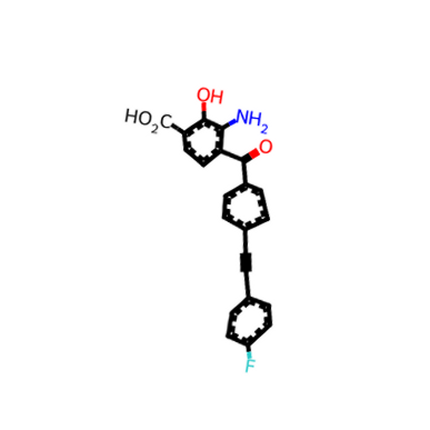 Nc1c(C(=O)c2ccc(C#Cc3ccc(F)cc3)cc2)ccc(C(=O)O)c1O